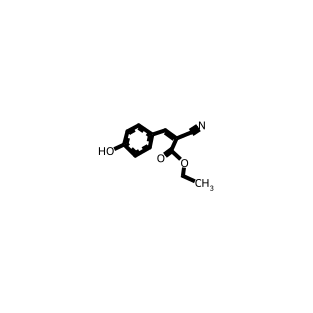 CCOC(=O)C(C#N)=Cc1ccc(O)cc1